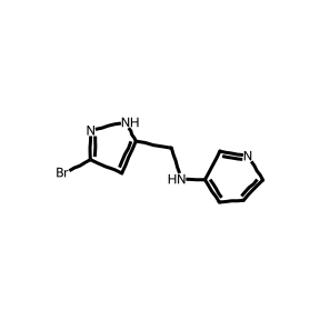 Brc1cc(CNc2cccnc2)[nH]n1